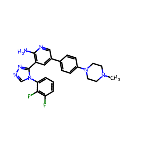 CN1CCN(c2ccc(-c3cnc(N)c(-c4nncn4-c4cccc(F)c4F)c3)cc2)CC1